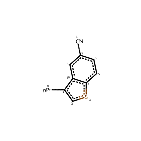 CCCc1csc2ccc(C#N)cc12